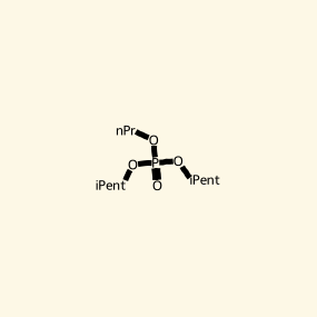 CCCOP(=O)(OC(C)CCC)OC(C)CCC